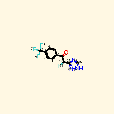 O=C(c1ccc(C(F)(F)F)cc1)C(F)c1nc[nH]n1